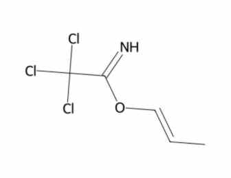 CC=COC(=N)C(Cl)(Cl)Cl